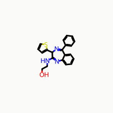 OCCNC1=Nc2ccccc2C(c2ccccc2)=NC1c1cccs1